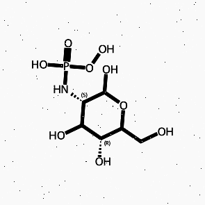 O=P(O)(N[C@@H]1C(O)OC(CO)[C@H](O)C1O)OO